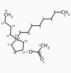 CC(=O)[O-].CCCCCCCC[N+]1(CCCC)CCCC1